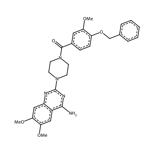 COc1cc2nc(N3CCN(C(=O)c4ccc(OCc5ccccc5)c(OC)c4)CC3)nc(N)c2cc1OC